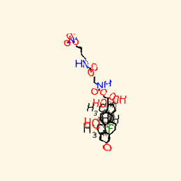 C[C@]12C=CC(=O)C=C1CC[C@H]1[C@@H]3C[C@@H](O)[C@](O)(C(=O)COC(=O)NCCOC(=O)NCCCCO[N+](=O)[O-])[C@@]3(C)C[C@H](O)[C@@]12F